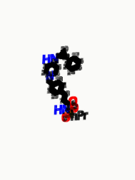 CCCS(=O)(=O)NC(=O)C=Cc1ccc(CN2CCC(N[C@@H]3C[C@H]3c3ccccc3)CC2)cc1